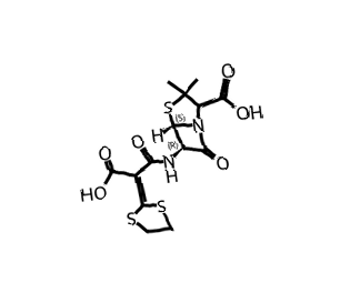 CC1(C)S[C@H]2[C@H](NC(=O)C(C(=O)O)=C3SCCS3)C(=O)N2C1C(=O)O